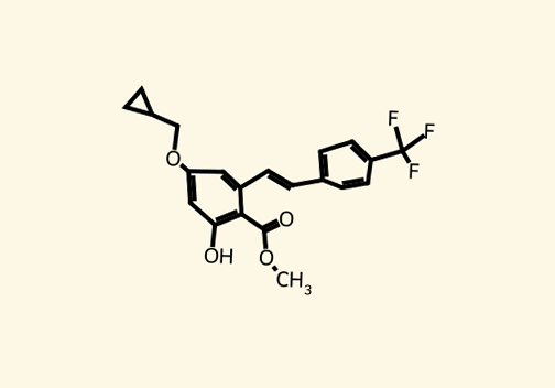 COC(=O)c1c(O)cc(OCC2CC2)cc1C=Cc1ccc(C(F)(F)F)cc1